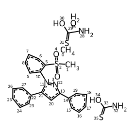 C.CS(=O)(=O)c1ccccc1-n1nc(-c2ccccc2)cc1-c1ccccc1.NC(O)=S.NC(O)=S.O